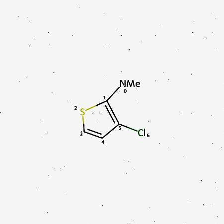 CNc1s[c]cc1Cl